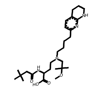 COC(C)(C)CN(CCCCc1ccc2c(n1)NCCC2)CCC(NC(=O)CC(C)(C)C)C(=O)O